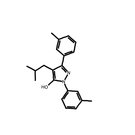 Cc1cccc(-c2nn(-c3cccc(C)c3)c(O)c2CC(C)C)c1